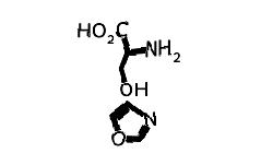 NC(CO)C(=O)O.c1cocn1